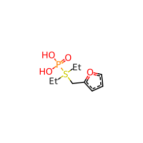 CCS(CC)(Cc1ccco1)P(=O)(O)O